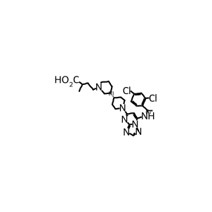 CC(CCN1CCC[C@H](C2CCN(c3cc(N[C@H](C)c4ccc(Cl)cc4Cl)n4ncnc4n3)CC2)C1)C(=O)O